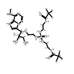 CNc1ncnn2c([C@H](OCCOP(=O)(OCCSC(=O)C(C)(C)C)OCCSC(=O)C(C)(C)C)[C@](C)(O)CO)cnc12